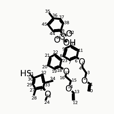 C=COCCOc1ccccc1.C=COCCOc1ccccc1.COc1c(C)cc(S)cc1C.Cc1ccc(S(=O)(=O)O)cc1